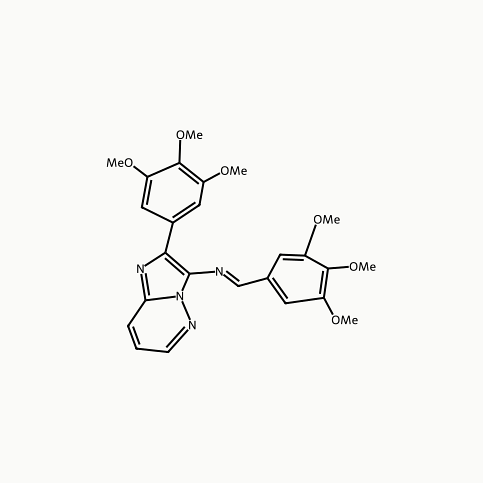 COc1cc(/C=N/c2c(-c3cc(OC)c(OC)c(OC)c3)nc3cccnn23)cc(OC)c1OC